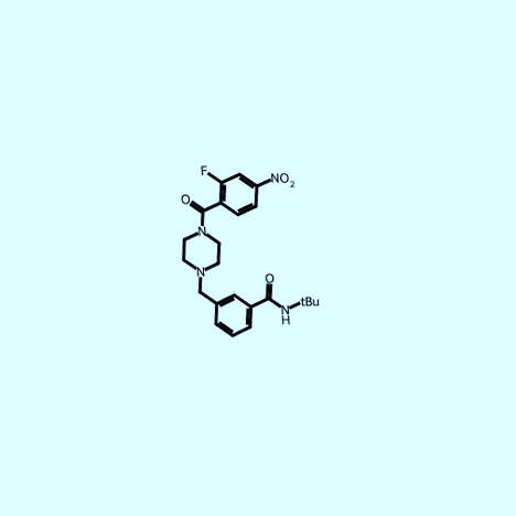 CC(C)(C)NC(=O)c1cccc(CN2CCN(C(=O)c3ccc([N+](=O)[O-])cc3F)CC2)c1